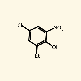 CCc1cc(Cl)cc([N+](=O)[O-])c1O